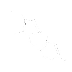 O=C(O)c1nnn(Cc2ccc(F)cc2F)c1C(=O)O